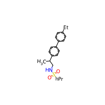 [CH2]Cc1ccc(-c2ccc(C(C)CNS(=O)(=O)CCC)cc2)cc1